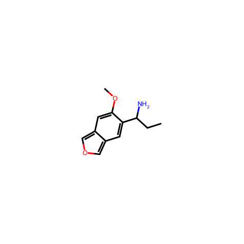 CCC(N)c1cc2cocc2cc1OC